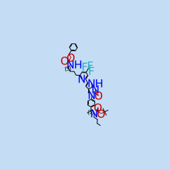 CCCCN(C(=O)OC(C)(C)C)[C@@H](C)c1ccc(-n2cc3cc(-c4cc(C(F)(F)F)cc(CCC[C@H](C)NC(=O)OCc5ccccc5)n4)[nH]c3nc2=O)cc1